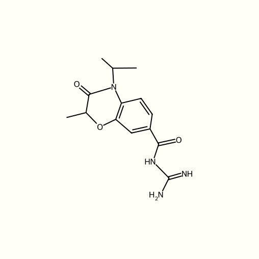 CC1Oc2cc(C(=O)NC(=N)N)ccc2N(C(C)C)C1=O